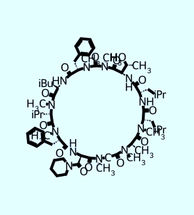 CC[C@H](C)[C@@H]1NC(=O)[C@H](Cc2ccccc2)N(C)C(=O)N(C)C(=O)[C@H]([C@@H](C)O)NC(=O)[C@H](CC(C)C)NC(=O)[C@H](CC(C)C)N(C)C(=O)[C@H](C)N(C)C(=O)CN(C)C(=O)[C@@H](C(=O)N2CCCCC2)NC(=O)[C@H](Cc2ccccc2)N(C)C(=O)[C@H](C(C)C)N(C)C1=O